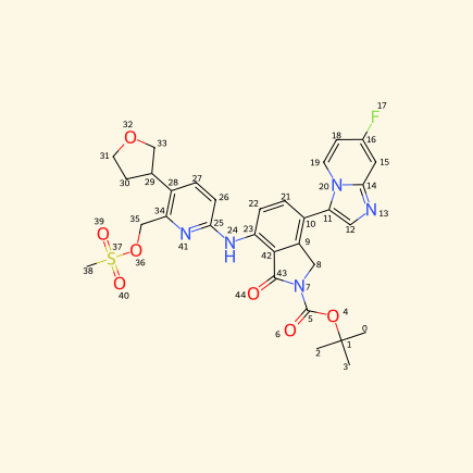 CC(C)(C)OC(=O)N1Cc2c(-c3cnc4cc(F)ccn34)ccc(Nc3ccc(C4CCOC4)c(COS(C)(=O)=O)n3)c2C1=O